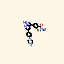 CCN(CC)C(=O)c1ccc(-c2c[nH]c3ncc(-c4ccc(N5CCN(C)CC5)cc4)cc23)cc1